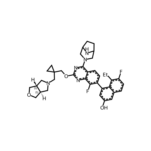 CCc1c(F)ccc2cc(O)cc(-c3ccc4c(N5CC6CCC(C5)N6)nc(OCC5(CN6C[C@H]7COC[C@@H]7C6)CC5)nc4c3F)c12